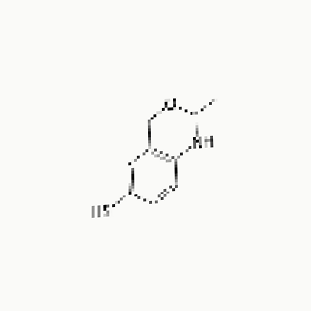 CC1Nc2ccc(S)cc2CO1